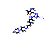 Cc1csc2c(-n3nc(N)nc3Nc3ccc(/C=C/CN4CCC(N5CCN(C)CC5)CC4)nc3)ncnc12